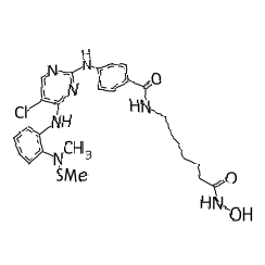 CSN(C)c1ccccc1Nc1nc(Nc2ccc(C(=O)NCCCCCCC(=O)NO)cc2)ncc1Cl